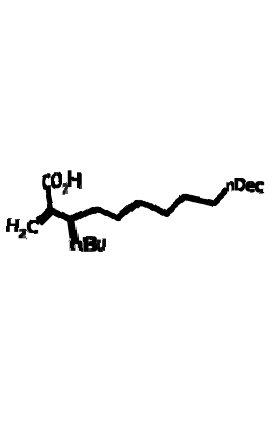 C=C(C(=O)O)C(CCCC)CCCCCCCCCCCCCCCC